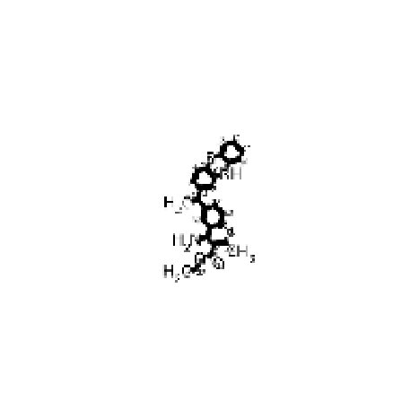 C=C(c1ccc2c(c1)Nc1ccccc1S2)c1ccc2nc(C)c(C(=O)OCC)c(N)c2c1